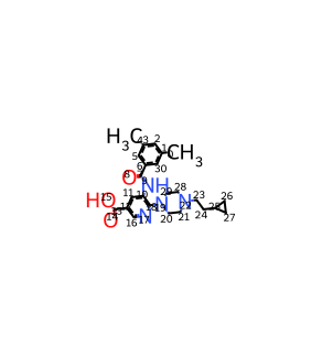 Cc1cc(C)cc(C(=O)Nc2cc(C(=O)O)cnc2N2CCN(CCC3CC3)CC2)c1